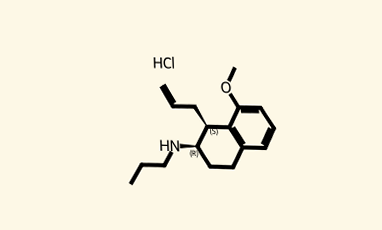 C=CC[C@H]1c2c(cccc2OC)CC[C@H]1NCCC.Cl